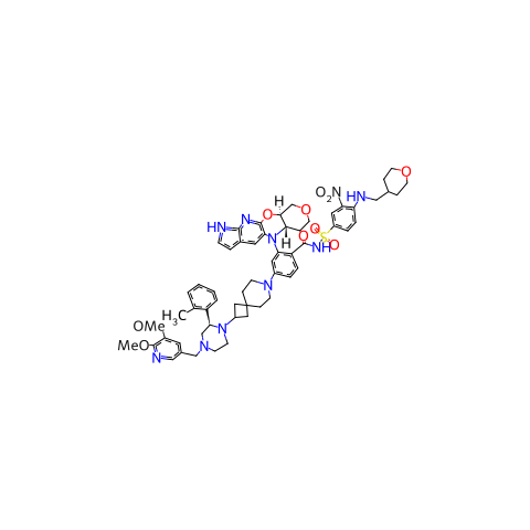 COc1cc(CN2CCN(C3CC4(CCN(c5ccc(C(=O)NS(=O)(=O)c6ccc(NCC7CCOCC7)c([N+](=O)[O-])c6)c(N6c7cc8cc[nH]c8nc7O[C@H]7COCC[C@@H]76)c5)CC4)C3)[C@H](c3ccccc3C)C2)cnc1OC